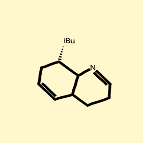 CC[C@@H](C)C1CC=CC2CCC=NC21